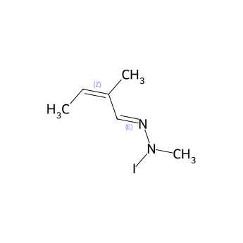 C/C=C(C)\C=N\N(C)I